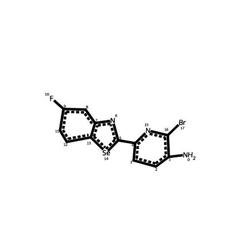 Nc1ccc(-c2nc3cc(F)ccc3[se]2)nc1Br